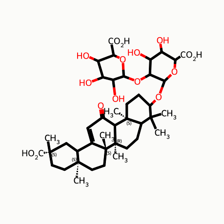 CC1(C)C(OC2OC(C(=O)O)C(O)C(O)C2OC2OC(C(=O)O)C(O)C(O)C2O)CC[C@@]2(C)C1CC[C@]1(C)C2C(=O)C=C2C3C[C@@](C)(C(=O)O)CC[C@]3(C)CC[C@]21C